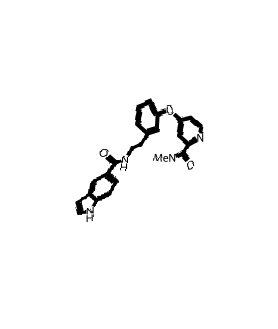 CNC(=O)c1cc(Oc2cccc(CCNC(=O)c3ccc4[nH]ccc4c3)c2)ccn1